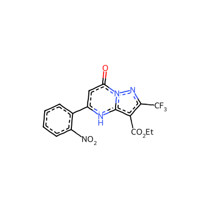 CCOC(=O)c1c(C(F)(F)F)nn2c(=O)cc(-c3ccccc3[N+](=O)[O-])[nH]c12